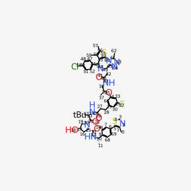 Cc1ncsc1-c1ccc([C@H](C)NC(=O)[C@@H]2C[C@@H](O)CN2C(=O)C(NC(=O)CCc2cc(F)cc(O[C@@H](C)CNC(=O)C[C@@H]3N=C(c4ccc(Cl)cc4)c4c(sc(C)c4C)-n4c(C)nnc43)c2)C(C)(C)C)cc1